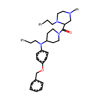 CC(C)CCN1CCN(C(C)C)CC1C(=O)N1CCC(N(CCC(C)C)c2ccc(OCc3ccccc3)cc2)CC1